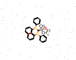 CCO[Si](C)(C)C(P(c1ccccc1)c1ccccc1)P(c1ccccc1)c1ccccc1